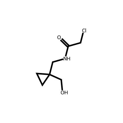 O=C(CCl)NCC1(CO)CC1